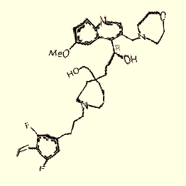 COc1ccc2ncc(CN3CCOCC3)c([C@@H](O)CCC3(CO)CCN(CCCc4cc(F)c(F)c(F)c4)CC3)c2c1